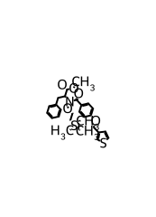 COC(=O)C(Cc1ccccc1)N(OCC[Si](C)(C)C)C(=O)c1ccc(OCc2ccsc2)cc1